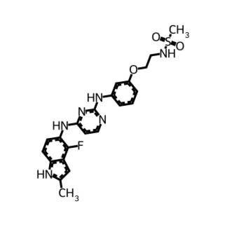 Cc1cc2c(F)c(Nc3ccnc(Nc4cccc(OCCNS(C)(=O)=O)c4)n3)ccc2[nH]1